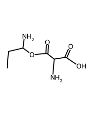 CCC(N)OC(=O)C(N)C(=O)O